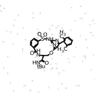 Cc1cccc(C)c1-c1cc2nc(n1)NS(=O)(=O)c1cccc(c1)C(=O)NC(C(=O)NC(C)(C)C)CO2